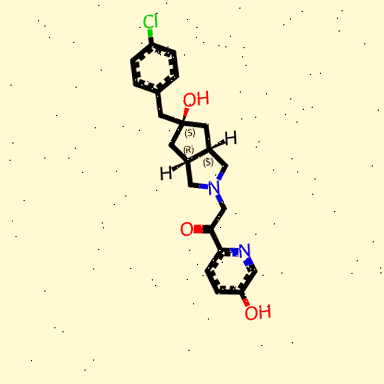 O=C(CN1C[C@@H]2C[C@](O)(Cc3ccc(Cl)cc3)C[C@@H]2C1)c1ccc(O)cn1